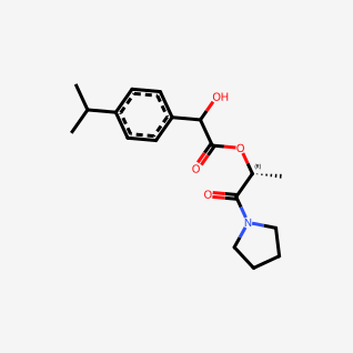 CC(C)c1ccc(C(O)C(=O)O[C@H](C)C(=O)N2CCCC2)cc1